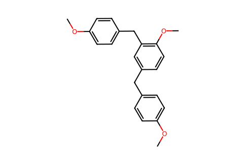 COc1ccc(Cc2ccc(OC)c(Cc3ccc(OC)cc3)c2)cc1